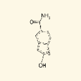 NC(=O)c1ccc2sc(O)cc2c1